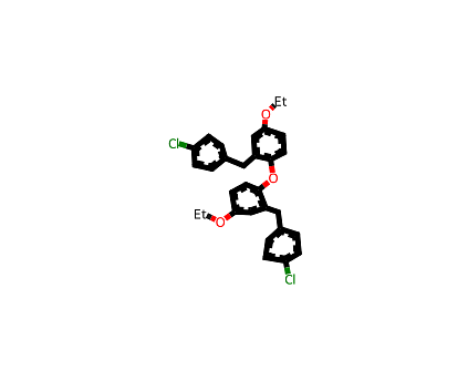 CCOc1ccc(Oc2ccc(OCC)cc2Cc2ccc(Cl)cc2)c(Cc2ccc(Cl)cc2)c1